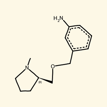 CN1CCC[C@@H]1COCc1cccc(N)c1